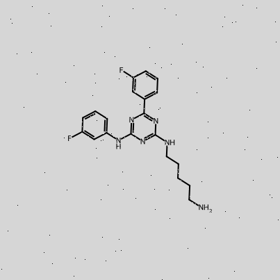 NCCCCCNc1nc(Nc2cccc(F)c2)nc(-c2cccc(F)c2)n1